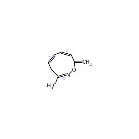 C=C1/C=C\C=C/C/C(C)=N\O1